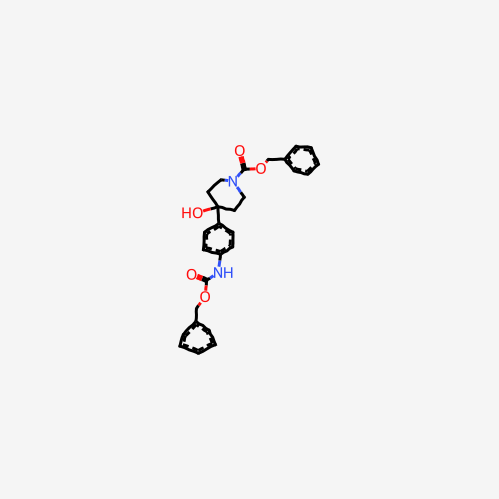 O=C(Nc1ccc(C2(O)CCN(C(=O)OCc3ccccc3)CC2)cc1)OCc1ccccc1